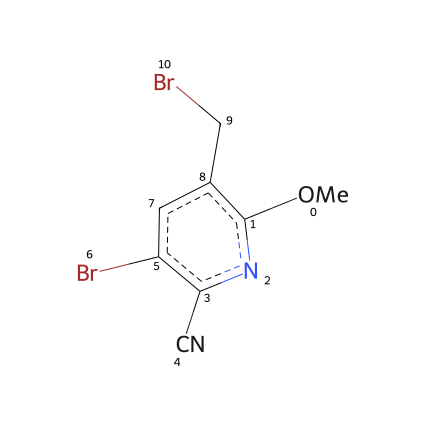 COc1nc(C#N)c(Br)cc1CBr